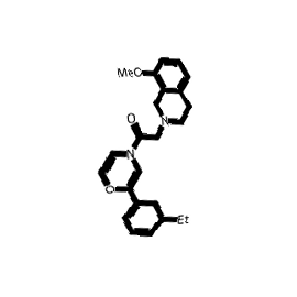 CCC1C=CC=C(C2=CN(C(=O)CN3CCc4cccc(OC)c4C3)C=CO2)C1